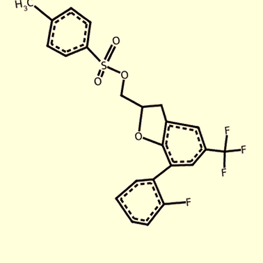 Cc1ccc(S(=O)(=O)OCC2Cc3cc(C(F)(F)F)cc(-c4ccccc4F)c3O2)cc1